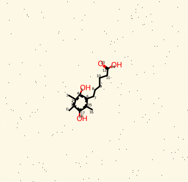 Cc1c(C)c(O)c(CCCCCC(=O)O)c(C)c1O